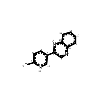 Fc1ccc(-c2cnc3cc[c]cc3n2)cn1